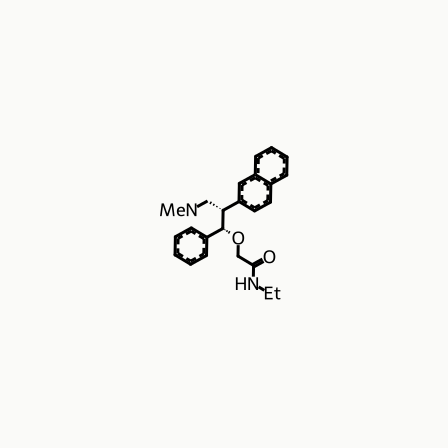 CCNC(=O)CO[C@H](c1ccccc1)[C@H](CNC)c1ccc2ccccc2c1